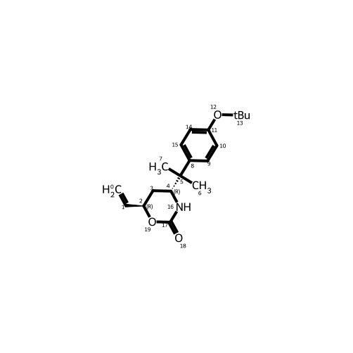 C=C[C@H]1C[C@H](C(C)(C)c2ccc(OC(C)(C)C)cc2)NC(=O)O1